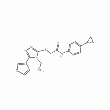 CCn1c(SCC(=O)Nc2ccc(C3CC3)cc2)nnc1-c1ccsc1